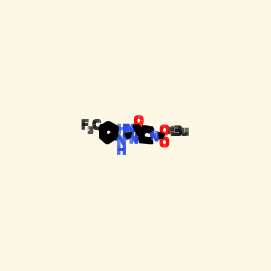 CC(C)(C)OC(=O)N1CCC2(CC1)N=C(Nc1ccc(C(F)(F)F)cc1)NC2=O